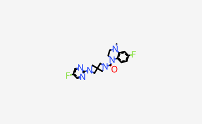 CN1CCN(C(=O)N2CC3(C2)CN(c2ncc(F)cn2)C3)c2ccc(F)cc21